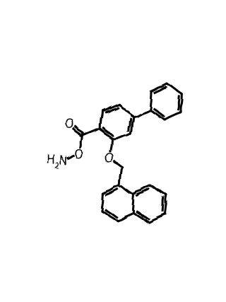 NOC(=O)c1ccc(-c2ccccc2)cc1OCc1cccc2ccccc12